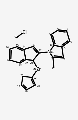 CCl.Cc1cc2ccccc2n1C1=Cc2ccccc2[CH]1[Zr][C]1=CC=CC1